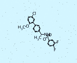 COc1ccc(Cl)cc1-c1ccc([C@@H](C)NS(=O)(=O)c2ccc(F)c(F)c2)cc1